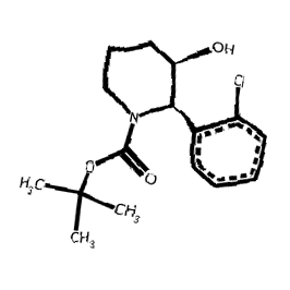 CC(C)(C)OC(=O)N1CCC[C@@H](O)[C@H]1c1ccccc1Cl